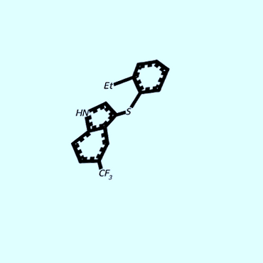 CCc1ccccc1Sc1c[nH]c2ccc(C(F)(F)F)cc12